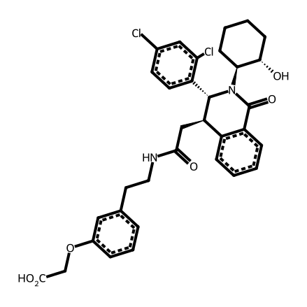 O=C(O)COc1cccc(CCNC(=O)C[C@@H]2c3ccccc3C(=O)N([C@H]3CCCC[C@@H]3O)[C@H]2c2ccc(Cl)cc2Cl)c1